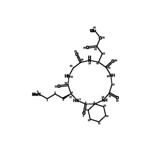 CNCCC[C@@H]1NC(=O)C2(CCCCC2)NC(=O)CNC(=O)C(CC(=O)OC(C)(C)C)NC(=O)CNC1=O